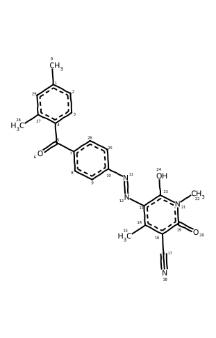 Cc1ccc(C(=O)c2ccc(N=Nc3c(C)c(C#N)c(=O)n(C)c3O)cc2)c(C)c1